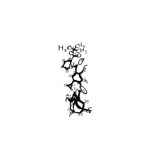 CC(C)(C)OC(=O)[C@@H]1CCCN1C(=O)c1cc(C2CC2)c(OCC23CC4(F)CC(F)(CC(F)(C4)C2)C3)cc1F